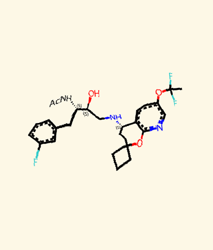 CC(=O)N[C@@H](Cc1cccc(F)c1)[C@@H](O)CN[C@H]1CC2(CCC2)Oc2ncc(OC(C)(F)F)cc21